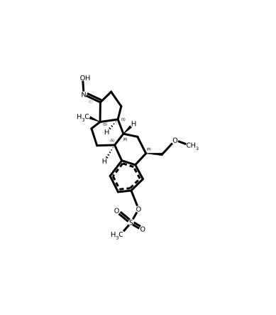 COC[C@@H]1C[C@@H]2[C@H](CC[C@]3(C)/C(=N/O)CC[C@@H]23)c2ccc(OS(C)(=O)=O)cc21